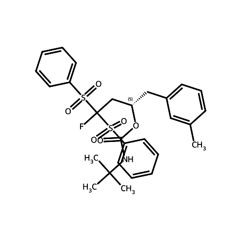 Cc1cccc(C[C@@H](CC(F)(S(=O)(=O)c2ccccc2)S(=O)(=O)c2ccccc2)OC(=O)NC(C)(C)C)c1